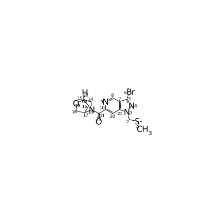 CSCn1nc(Br)c2cnc(C(=O)N3C[C@@H]4CC3CO4)cc21